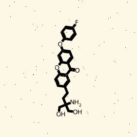 NC(CO)(CO)CCc1ccc2oc3cc(Oc4ccc(F)cc4)ccc3c(=O)c2c1